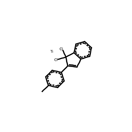 Cc1ccc(C2=Cc3ccccc3C2(Cl)Cl)cc1.[Ti]